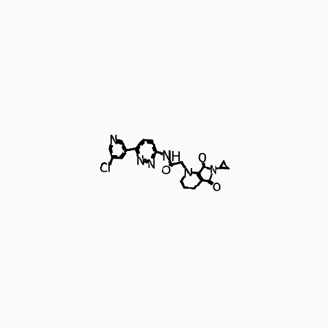 O=C(CN1CCCC2=C1C(=O)N(C1CC1)C2=O)Nc1ccc(-c2cncc(Cl)c2)nn1